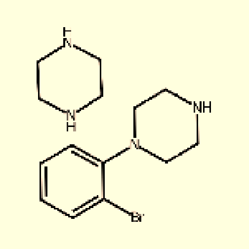 Brc1ccccc1N1CCNCC1.C1CNCCN1